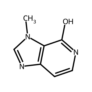 Cn1cnc2ccnc(O)c21